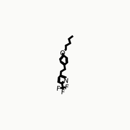 CCCCCOc1ccc(CCc2ccc(C(F)(F)F)nc2)cc1